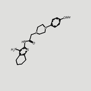 COc1ccc(N2CCN(CC(=O)Nc3sc4c(c3N)CCCC4)CC2)cc1